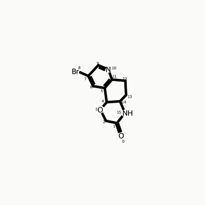 O=C1COC2c3cc(Br)cnc3CCC2N1